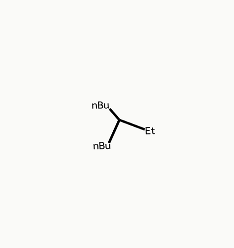 [CH2]CCCC(CC)CCCC